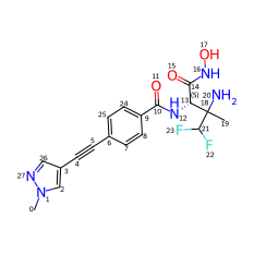 Cn1cc(C#Cc2ccc(C(=O)N[C@H](C(=O)NO)C(C)(N)C(F)F)cc2)cn1